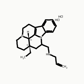 C=CCNCC1C[C@]2(CC)CCCN3CCc4c(n1c1ccccc41)[C@@H]32.Cl.Cl